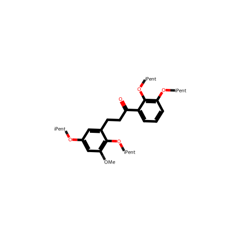 CCCC(C)Oc1cc(CCC(=O)c2cccc(OC(C)CCC)c2OC(C)CCC)c(OC(C)CCC)c(OC)c1